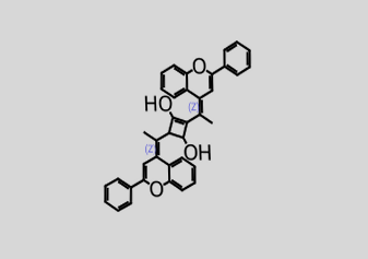 C/C(C1=C(O)C(/C(C)=C2/C=C(c3ccccc3)Oc3ccccc32)C1O)=C1\C=C(c2ccccc2)Oc2ccccc21